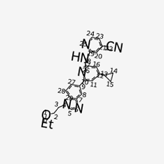 CCOCCn1cnc2cc(-c3cc(C4CC4)cc(Nc4cc(C#N)ccn4)n3)ccc21